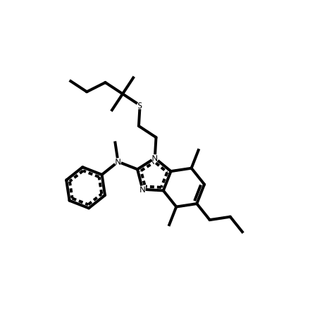 CCCC1=CC(C)c2c(nc(N(C)c3ccccc3)n2CCSC(C)(C)CCC)C1C